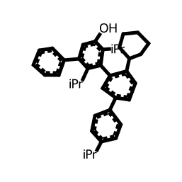 CC(C)c1ccc(-c2ccc(C3CCCCC3)c(-c3c(C(C)C)c(O)cc(-c4ccccc4)c3C(C)C)c2)cc1